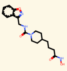 O=C(CCCC1CCN(C(=O)NCc2noc3ccccc23)CC1)NO